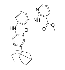 COC(=O)c1cccnc1Nc1cccc(Nc2ccc(C34CC5CC(CC(C5)C3)C4)cc2Cl)c1